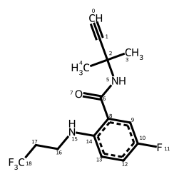 C#CC(C)(C)NC(=O)c1cc(F)ccc1NCCC(F)(F)F